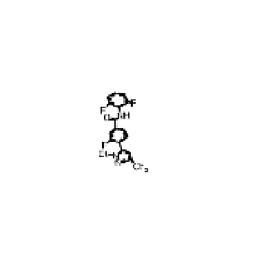 CCn1nc(C(F)(F)F)cc1-c1ccc(C(=O)Nc2c(F)cccc2F)cc1F